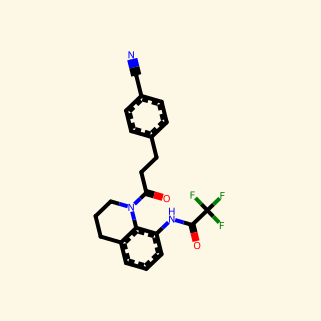 N#Cc1ccc(CCC(=O)N2CCCc3cccc(NC(=O)C(F)(F)F)c32)cc1